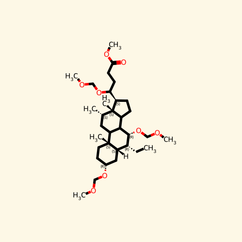 CC[C@H]1[C@@H](OCOC)C2C3CC[C@H](C(CCC(=O)OC)OCOC)[C@@]3(C)[C@@H](C)CC2[C@@]2(C)CC[C@@H](OCOC)C[C@@H]12